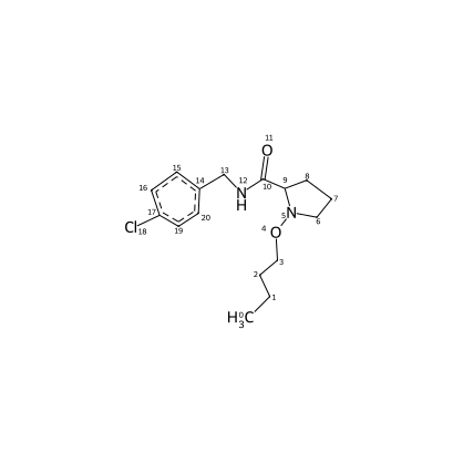 CCCCON1CCCC1C(=O)NCc1ccc(Cl)cc1